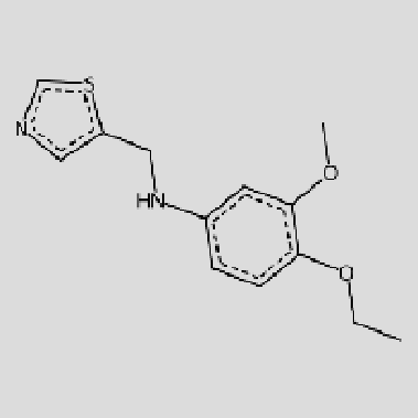 CCOc1ccc(NCc2cncs2)cc1OC